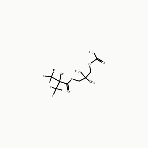 CC(=O)OCC(C)(C)COC(=O)C(O)(C(F)(F)F)C(F)(F)F